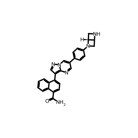 NC(=O)c1ccc(-c2cnn3cc(-c4ccc(N5CC6NC[C@H]65)cc4)cnc23)c2ccccc12